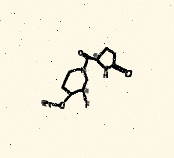 CC(C)OC1CCN(C(=O)[C@H]2CCC(=O)N2)C[C@H]1F